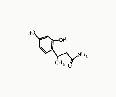 CC(CC(N)=O)c1ccc(O)cc1O